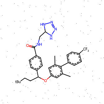 Cc1cc(OC(CCC(C)(C)C)c2ccc(C(=O)NCC3NN=NN3)cc2)cc(C)c1-c1ccc(C(F)(F)F)cc1